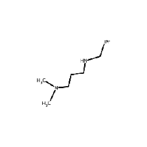 CC(C)CNCCCN(C)C